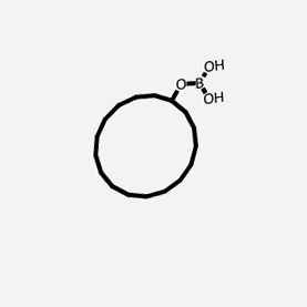 OB(O)OC1CCCCCCCCCCCCCCCC1